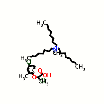 CCCCCCCC[N+](C)(CCCCCCCC)CCCCCCCC.Cc1cc(Cl)ccc1OC(C)C(=O)O.[Cl-]